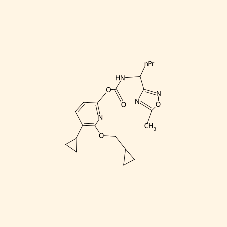 CCCC(NC(=O)Oc1ccc(C2CC2)c(OCC2CC2)n1)c1noc(C)n1